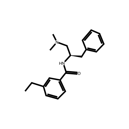 CCc1cccc(C(=O)N[C@H](Cc2ccccc2)CN(C)C)c1